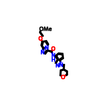 COCCOc1ccn2c(C(=O)Nc3cccc4c3cnn4CC3CCOCC3)cnc2c1